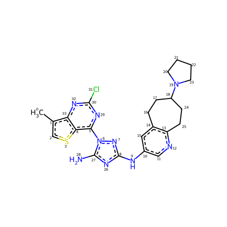 Cc1csc2c(-n3nc(Nc4cnc5c(c4)CCC(N4CCCC4)CC5)nc3N)nc(Cl)nc12